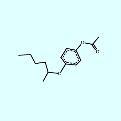 CCCCC(C)Oc1ccc(OC(C)=O)cc1